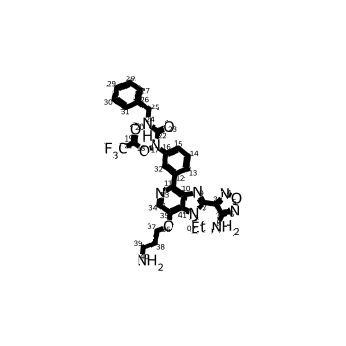 CCn1c(-c2nonc2N)nc2c(-c3cccc(N(OC(=O)C(F)(F)F)C(=O)NCc4ccccc4)c3)ncc(OCCCN)c21